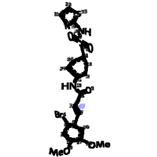 COc1cc(Br)c(/C=C/C(=O)Nc2ccc(S(=O)(=O)Nc3nccs3)cc2)cc1OC